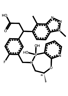 Cc1c(C(CC(=O)O)c2ccc(F)c(CN3C[C@@H](C)Oc4ncccc4S3(O)O)c2)ccc2c1nnn2C